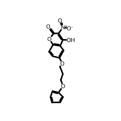 O=c1oc2ccc(OCCCOc3ccccc3)cc2c(O)c1[N+](=O)[O-]